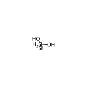 O[SiH2]O.[Si]